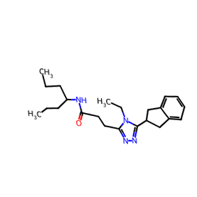 CCCC(CCC)NC(=O)CCc1nnc(C2Cc3ccccc3C2)n1CC